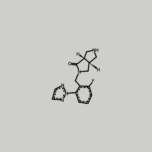 O=C1[C@@H]2CNC[C@@H]2CN1Cc1c(F)cccc1-n1nccn1